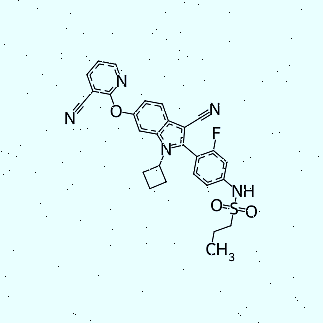 CCCS(=O)(=O)Nc1ccc(-c2c(C#N)c3ccc(Oc4ncccc4C#N)cc3n2C2CCC2)c(F)c1